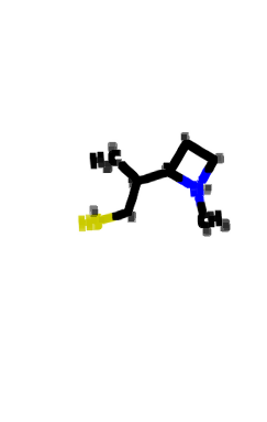 CC(CS)C1CCN1C